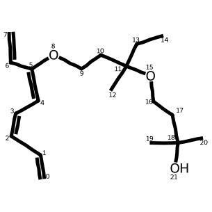 C=C/C=C\C=C(/C=C)OCCC(C)(CC)OCCC(C)(C)O